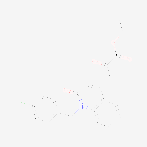 CCOC(=O)C(=O)Cc1cc(=O)n(Cc2ccc(Cl)cc2)c2ccccc12